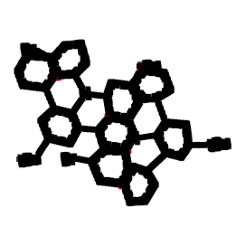 CC(C)(C)c1cc(N(c2cccc(Br)c2)c2c(-c3ccccc3)cc(C(C)(C)C)cc2-c2ccccc2)cc(N(c2cccc(Br)c2)c2c(-c3ccccc3)cc(C(C)(C)C)cc2-c2ccccc2)c1